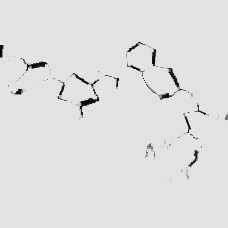 C=C(/C=C(\N=C/N)NC(C)=O)Oc1ccc2c(C(=O)Nc3cc(-n4cnc(C)c4)cc(C(F)(F)F)c3)cccc2c1